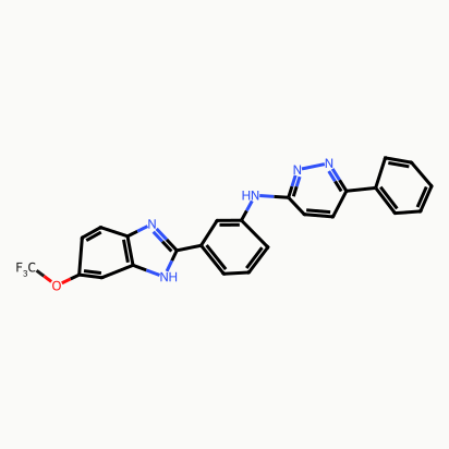 FC(F)(F)Oc1ccc2nc(-c3cccc(Nc4ccc(-c5ccccc5)nn4)c3)[nH]c2c1